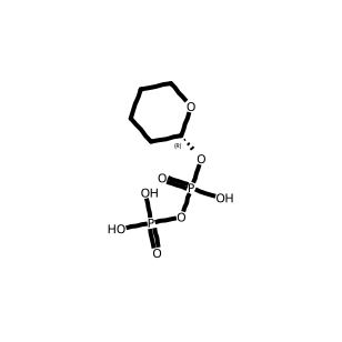 O=P(O)(O)OP(=O)(O)O[C@@H]1CCCCO1